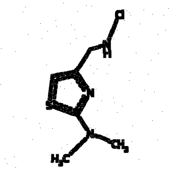 CN(C)c1nc(CNCl)cs1